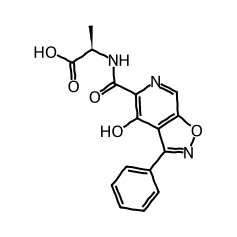 C[C@@H](NC(=O)c1ncc2onc(-c3ccccc3)c2c1O)C(=O)O